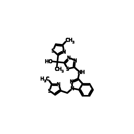 Cc1csc(C(C)(O)c2nnc(Nc3nn(Cc4csc(C)n4)c4ccccc34)s2)n1